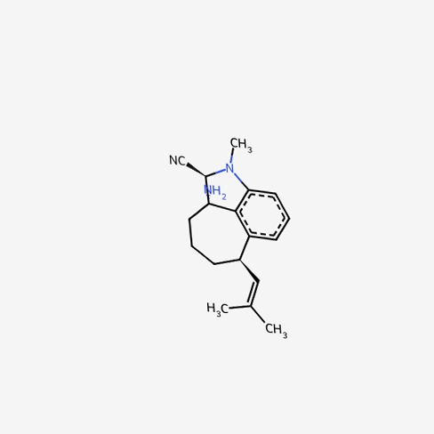 CC(C)=C[C@H]1CCC[C@]2(N)c3c1cccc3N(C)[C@@H]2C#N